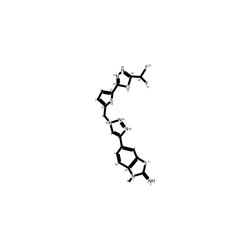 Cn1c(=N)sc2cc(-c3cn(Cc4ccc(-c5nnc(C(F)F)o5)s4)nn3)ccc21